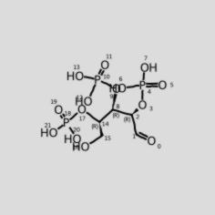 O=C[C@H](OP(=O)(O)O)[C@H](OP(=O)(O)O)[C@@H](CO)OP(=O)(O)O